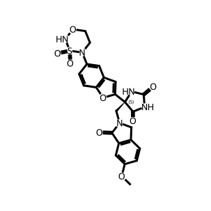 COc1ccc2c(c1)C(=O)N(C[C@@]1(c3cc4cc(N5CCONS5(=O)=O)ccc4o3)NC(=O)NC1=O)C2